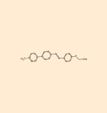 Cc1ccc(-c2ccc(N=Nc3ccc(OCO)cc3)cc2)cc1